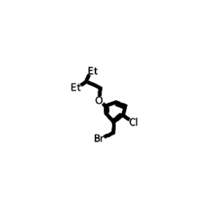 CCC(CC)COc1ccc(Cl)c(CBr)c1